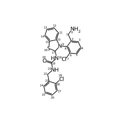 NCc1cccc(Cl)c1N1c2ccccc2SC1NC(=O)NCc1ccccc1Cl